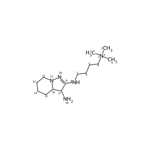 C[N+](C)(C)CCCCNC1=NN2CCCCC2C1N